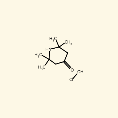 CC1(C)CC(=O)CC(C)(C)N1.OCl